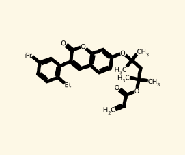 C=CC(=O)OC(C)(C)CC(C)(C)Oc1ccc2cc(-c3cc(C(C)C)ccc3CC)c(=O)oc2c1